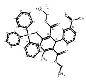 CCOC(=O)C1=C(C)NC(C[P+](c2ccccc2)(c2ccccc2)c2ccccc2)=C(C(=O)OCC)C1c1cccc([N+](=O)[O-])c1.[Cl-]